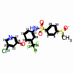 C[S+]([O-])c1ccc(S(=O)(=O)Nc2ccc(Oc3cncc(Cl)c3)c(C(F)(F)F)c2)cc1